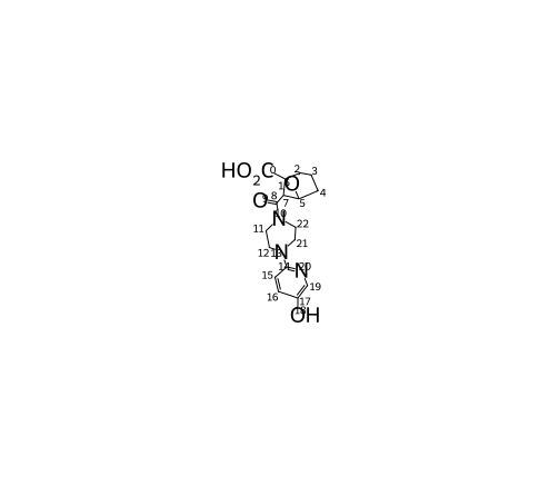 O=C(O)C1C2CCC(O2)C1C(=O)N1CCN(c2ccc(O)cn2)CC1